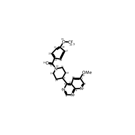 COc1cnc2ncnc(C3CCN(C(=O)c4ccc(OC(F)(F)F)cc4)CC3)c2c1